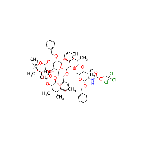 C=CCOC(=O)OC1[C@@H](OCC2O[C@@H](O[C@@H]3C(COCc4ccccc4)O[C@@H](O[C@@H]4C(COCc5ccccc5)O[C@@H](OCc5ccccc5)C(NC(=O)OCC(Cl)(Cl)Cl)[C@H]4C)C(C)[C@H]3C)C(OCc3ccccc3)[C@@H](O[C@H]3OC(CC)[C@@H](C)[C@H](C)C3O)[C@@H]2C)OC(CC)[C@@H](C)[C@@H]1C